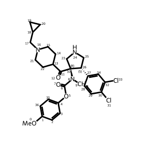 COc1ccc(OC(=O)N(C)[C@@]2(C(=O)C3CCN(CC4CC4)CC3)CNC[C@@H]2c2ccc(Cl)c(Cl)c2)cc1